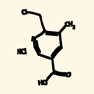 Cc1cc(C(=O)O)cnc1CCl.Cl